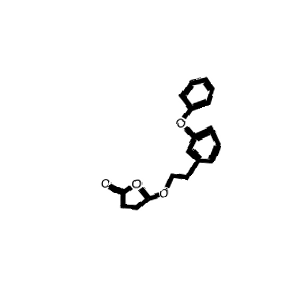 O=C1CCC(OCCc2cccc(Oc3ccccc3)c2)O1